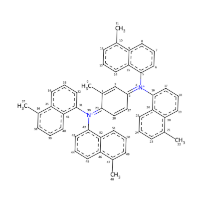 CC1=CC(=[N+](c2cccc3c(C)cccc23)c2cccc3c(C)cccc23)C=CC1=[N+](c1cccc2c(C)cccc12)c1cccc2c(C)cccc12